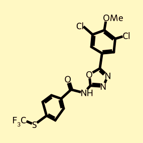 COc1c(Cl)cc(-c2nnc(NC(=O)c3ccc(SC(F)(F)F)cc3)o2)cc1Cl